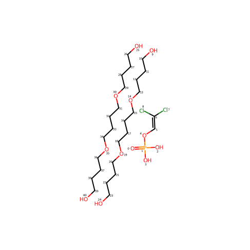 O=P(O)(O)OC=C(Cl)Cl.OCCCCOCCCCOCCCCO.OCCCCOCCCCOCCCCO